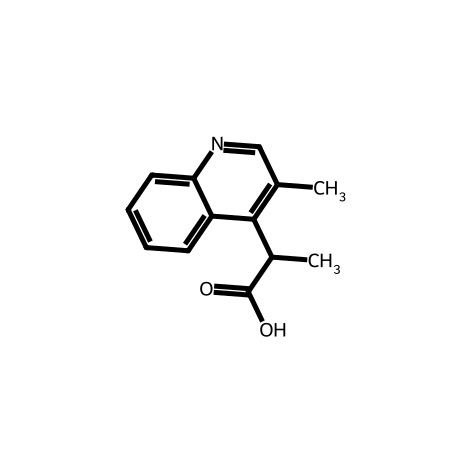 Cc1cnc2ccccc2c1C(C)C(=O)O